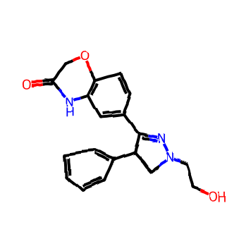 O=C1COc2ccc(C3=NN(CCO)CC3c3ccccc3)cc2N1